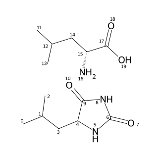 CC(C)CC1NC(=O)NC1=O.CC(C)C[C@@H](N)C(=O)O